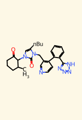 CCCCc1cn(C2C(=O)CCCC2C)c(=O)n1Cc1cnccc1-c1ccccc1-c1nnn[nH]1